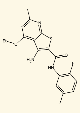 CCOc1cc(C)nc2sc(C(=O)Nc3cc(C)ccc3F)c(N)c12